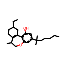 CCCCCC(C)(C)c1cc(O)c2c(c1)OCC(C)C1=C2CC(CC)CC1